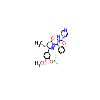 CCC1CC(=O)N(C(NC(=O)N2C=CN=CC2)c2ccccc2)N=C1c1ccc(OC)c(OC(F)F)c1